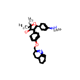 CSNc1ccc(C2=C(c3ccc(OCc4ccc5ccccc5n4)cc3)C(=O)C(C)(C)O2)cc1